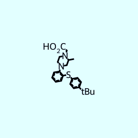 CC1CN(c2ccccc2Sc2ccc(C(C)(C)C)cc2)CCN1CC(=O)O